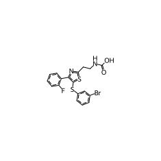 O=C(O)NCCc1nc(-c2ccccc2F)c(Sc2cccc(Br)c2)s1